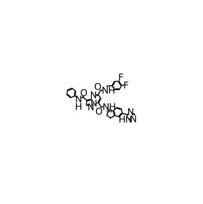 O=C(NCc1ccc(F)c(F)c1)c1cc(C(=O)N[C@H]2CCc3cc(-c4ncn[nH]4)ccc32)n2ncc(C(=O)Nc3ccccc3)c2n1